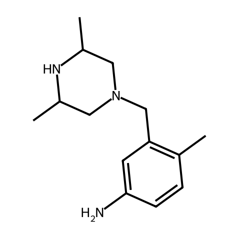 Cc1ccc(N)cc1CN1CC(C)NC(C)C1